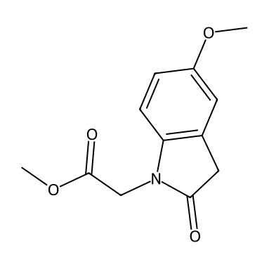 COC(=O)CN1C(=O)Cc2cc(OC)ccc21